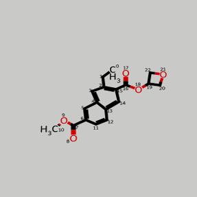 CCc1cc2cc(C(=O)OC)ccc2cc1C(=O)OC1COC1